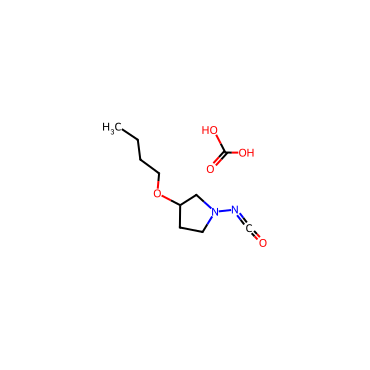 CCCCOC1CCN(N=C=O)C1.O=C(O)O